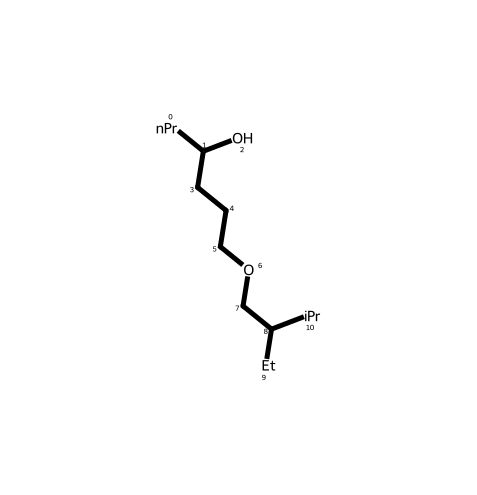 CCCC(O)CCCOCC(CC)C(C)C